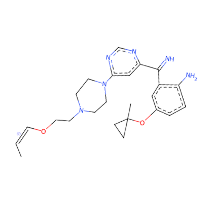 C/C=C\OCCN1CCN(c2cc(C(=N)c3cc(OC4(C)CC4)ccc3N)ncn2)CC1